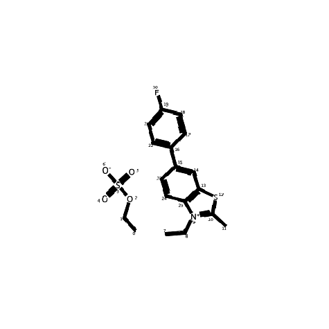 CCOS(=O)(=O)[O-].CC[n+]1c(C)sc2cc(-c3ccc(F)cc3)ccc21